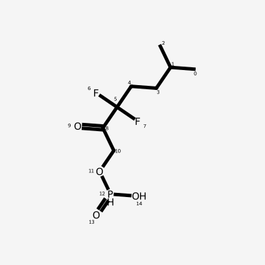 CC(C)CCC(F)(F)C(=O)CO[PH](=O)O